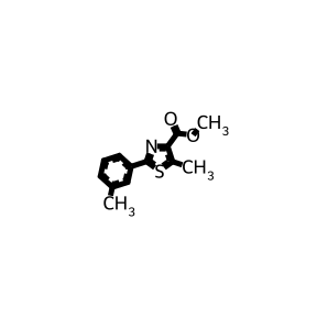 COC(=O)c1nc(-c2cccc(C)c2)sc1C